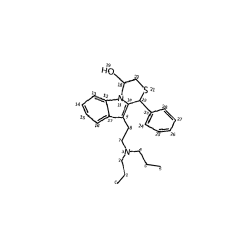 CCCN(CCC)CCc1c2n(c3ccccc13)C(O)CSC2c1ccccc1